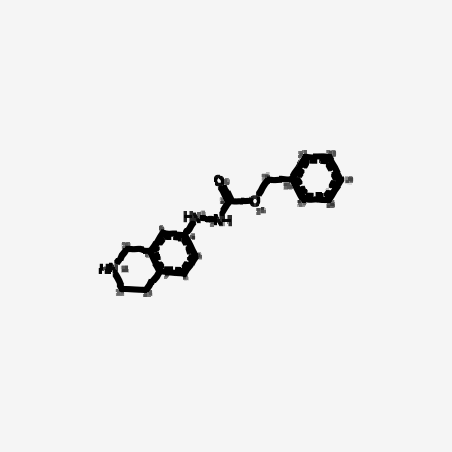 O=C(NNc1ccc2c(c1)CNCC2)OCc1ccccc1